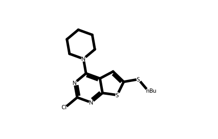 CCCCSc1cc2c(N3CCCCC3)nc(Cl)nc2s1